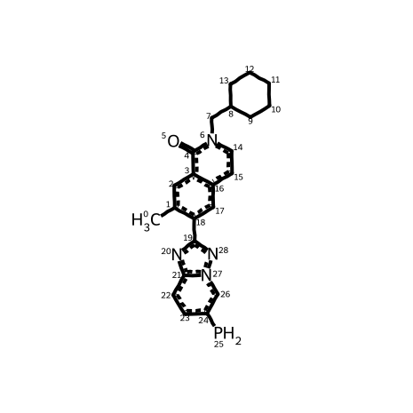 Cc1cc2c(=O)n(CC3CCCCC3)ccc2cc1-c1nc2ccc(P)cn2n1